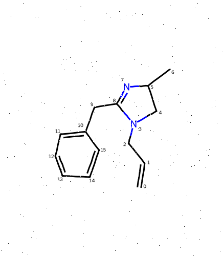 C=CCN1CC(C)N=C1Cc1ccccc1